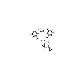 CCC1(C)CC1CCCOC(=O)c1c(Cl)c(Cl)cc(Cl)c1OC(=O)C(=O)Oc1c(Cl)cc(Cl)c(Cl)c1C(=O)OCCCC1CC1(C)CC